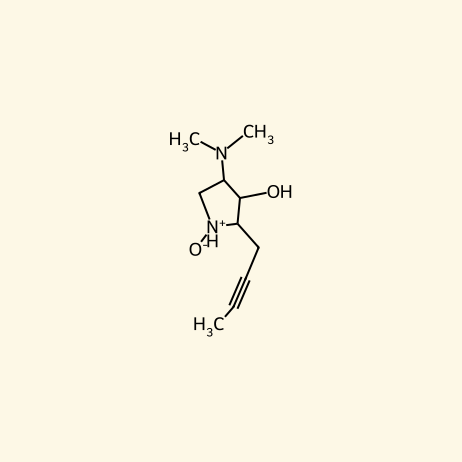 CC#CCC1C(O)C(N(C)C)C[NH+]1[O-]